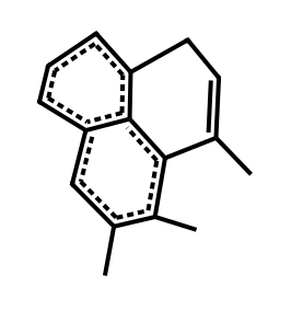 CC1=CCc2cccc3cc(C)c(C)c1c23